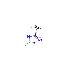 Cc1c[nH][c]([Sn]([CH3])([CH3])[CH3])n1